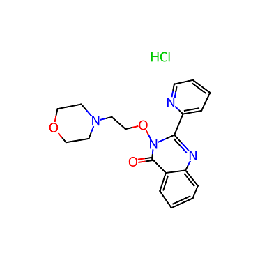 Cl.O=c1c2ccccc2nc(-c2ccccn2)n1OCCN1CCOCC1